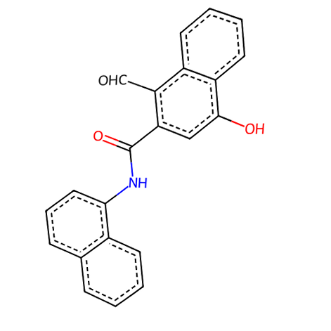 O=Cc1c(C(=O)Nc2cccc3ccccc23)cc(O)c2ccccc12